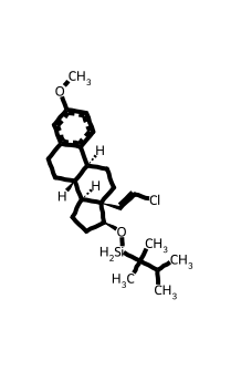 COc1ccc2c(c1)CC[C@@H]1[C@@H]2CC[C@]2(/C=C/Cl)[C@@H](O[SiH2]C(C)(C)C(C)C)CC[C@@H]12